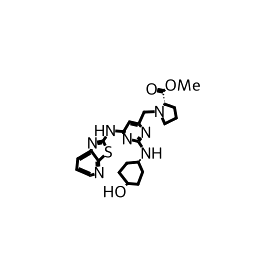 COC(=O)[C@@H]1CCCN1Cc1cc(Nc2nc3cccnc3s2)nc(N[C@H]2CC[C@H](O)CC2)n1